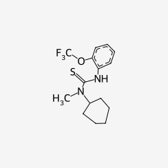 CN(C(=S)Nc1ccccc1OC(F)(F)F)C1CCCCC1